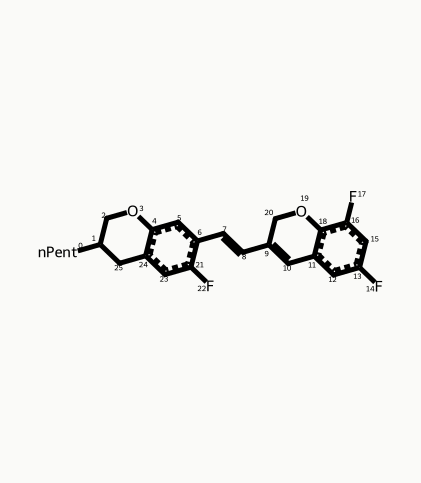 CCCCCC1COc2cc(/C=C/C3=Cc4cc(F)cc(F)c4OC3)c(F)cc2C1